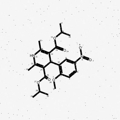 COc1ccc([N+](=O)[O-])cc1C1C(C(=O)OC(C)C)=C(C)NC(C)=C1C(=O)OC(C)C